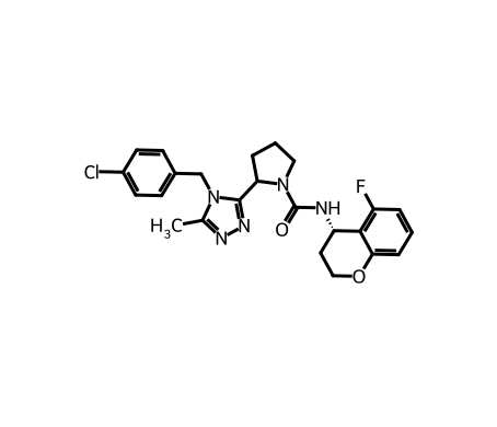 Cc1nnc(C2CCCN2C(=O)N[C@H]2CCOc3cccc(F)c32)n1Cc1ccc(Cl)cc1